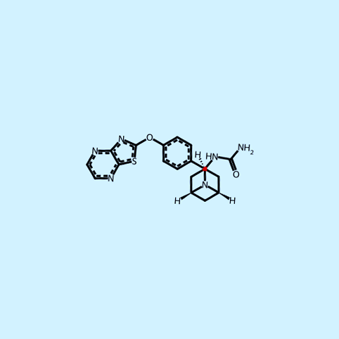 NC(=O)N[C@H]1C[C@@H]2C[C@H](C1)N2Cc1ccc(Oc2nc3nccnc3s2)cc1